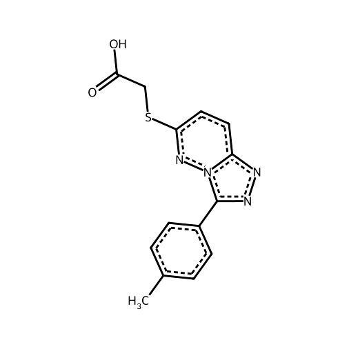 Cc1ccc(-c2nnc3ccc(SCC(=O)O)nn23)cc1